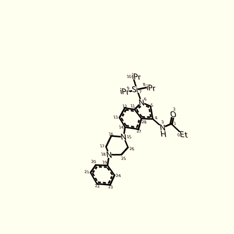 CCC(=O)Nc1cn([Si](C(C)C)(C(C)C)C(C)C)c2ccc(N3CCN(c4ccccc4)CC3)cc12